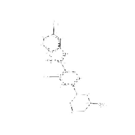 CO[C@H]1CCCN(c2ccc(-c3cc4cc(O)ccc4[nH]3)c(F)n2)C1